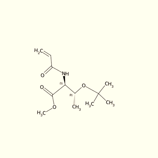 C=CC(=O)N[C@H](C(=O)OC)[C@@H](C)OC(C)(C)C